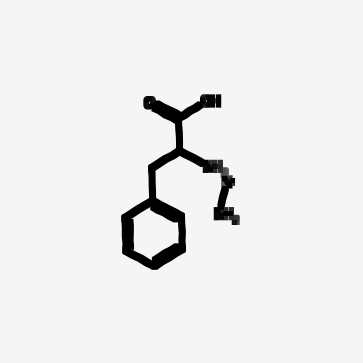 NC(Cc1ccccc1)C(=O)O.[N]N